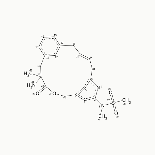 CN(c1cc2cc(n1)C/C=C/Cc1cccc(c1)CC(C)(N)C(=O)OC2)S(C)(=O)=O